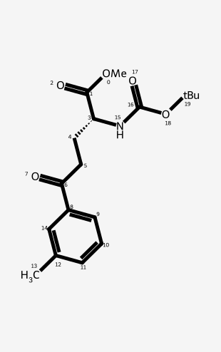 COC(=O)[C@@H](CCC(=O)c1cccc(C)c1)NC(=O)OC(C)(C)C